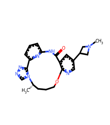 C[C@H]1CCCOc2ncc(C3CN(C)C3)cc2C(=O)Nc2cccc(n2)-c2nncn21